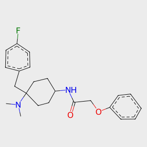 CN(C)C1(Cc2ccc(F)cc2)CCC(NC(=O)COc2ccccc2)CC1